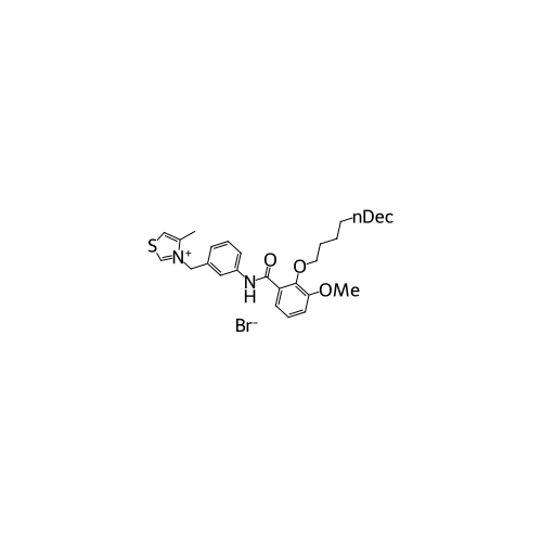 CCCCCCCCCCCCCCOc1c(OC)cccc1C(=O)Nc1cccc(C[n+]2cscc2C)c1.[Br-]